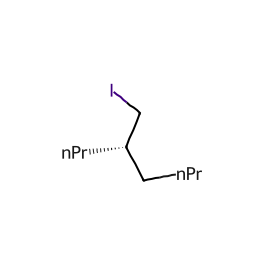 CCCC[C@@H](CI)CCC